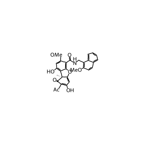 COc1cc(O)c2c(c1C(=O)NCc1c(OC)ccc3ccccc13)OC1=CC(O)=C(C(C)=O)C(=O)[C@]12C